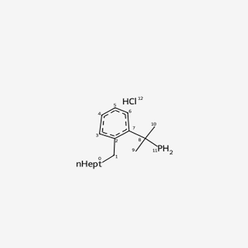 CCCCCCCCc1ccccc1C(C)(C)P.Cl